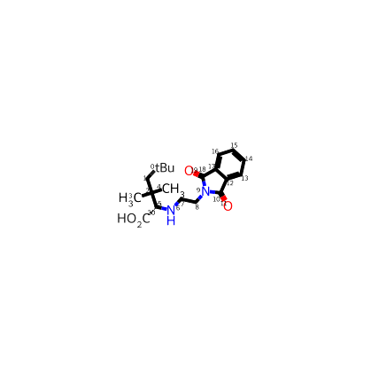 CC(C)(C)CC(C)(C)[C@H](NCCN1C(=O)c2ccccc2C1=O)C(=O)O